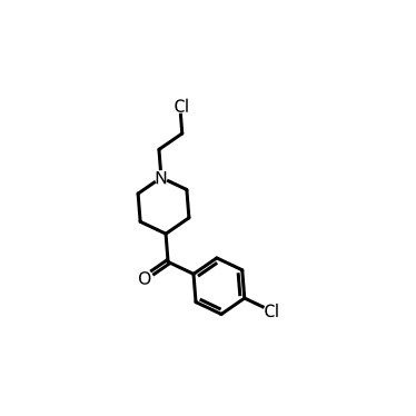 O=C(c1ccc(Cl)cc1)C1CCN(CCCl)CC1